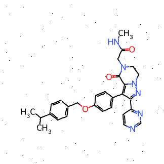 CNC(=O)CN1CCn2nc(-c3ccncn3)c(-c3ccc(OCc4ccc(C(C)C)cc4)cc3)c2C1=O